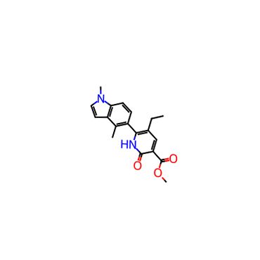 CCc1cc(C(=O)OC)c(=O)[nH]c1-c1ccc2c(ccn2C)c1C